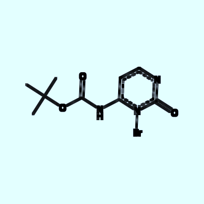 CC(C)(C)OC(=O)Nc1ccnc(=O)n1Br